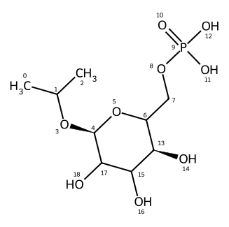 CC(C)O[C@H]1OC(COP(=O)(O)O)[C@@H](O)C(O)C1O